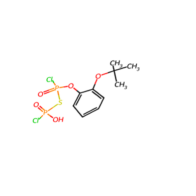 CC(C)(C)Oc1ccccc1OP(=O)(Cl)SP(=O)(O)Cl